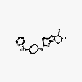 O=C1NCCn2c1cc1cnc(NC3CCC(Nc4ccccn4)CC3)nc12